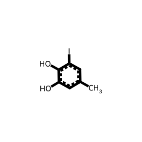 Cc1cc(O)c(O)c(I)c1